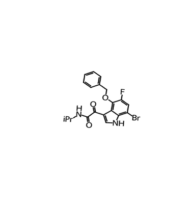 CC(C)NC(=O)C(=O)c1c[nH]c2c(Br)cc(F)c(OCc3ccccc3)c12